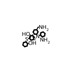 NCc1ccccc1.Nc1ccccc1N.Oc1ccccc1Sc1ccccc1O